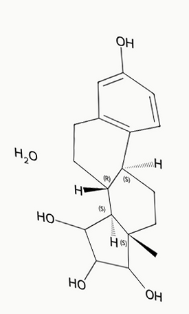 C[C@]12CC[C@@H]3c4ccc(O)cc4CC[C@H]3[C@@H]1C(O)C(O)C2O.O